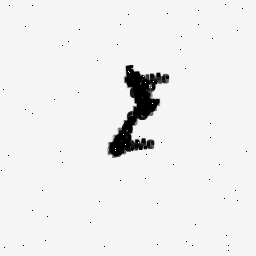 CNC(=O)c1c(-c2ccc(F)cc2)oc2cc(N(CCOCCOCCCc3ccccc3C(=O)OC)S(C)(=O)=O)c(C3CC3)cc12